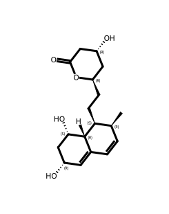 C[C@H]1C=CC2=C[C@H](O)C[C@H](O)[C@@H]2[C@H]1CC[C@@H]1C[C@@H](O)CC(=O)O1